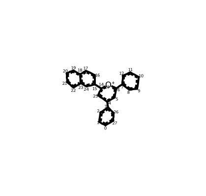 c1ccc(-c2cc(-c3ccccc3)[o+]c(-c3ccc4ccccc4c3)c2)cc1